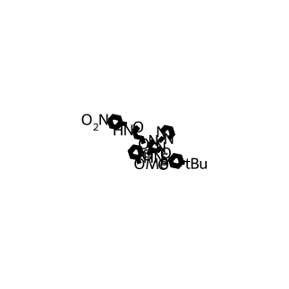 COc1ccccc1Oc1c(NS(=O)(=O)c2ccc(C(C)(C)C)cc2)nc(-c2ncccn2)nc1OCCC(=O)NCc1ccc([N+](=O)[O-])cc1